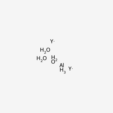 O.O.O.[AlH3].[Y].[Y]